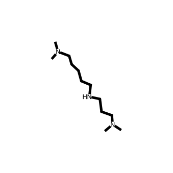 CN(C)CCCCCNCCCN(C)C